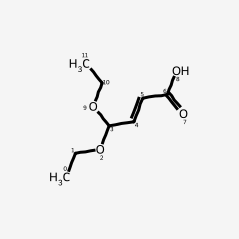 CCOC(C=CC(=O)O)OCC